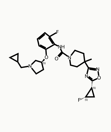 CC1(c2noc([C@@H]3C[C@@H]3F)n2)CCN(C(=O)Nc2c(F)cccc2O[C@H]2CCN(CC3CC3)C2)CC1